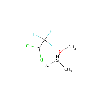 C[SiH](C)O[SiH3].FC(F)(F)C(Cl)Cl